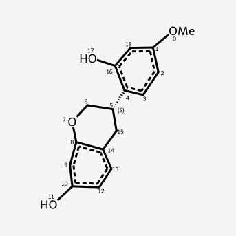 COc1ccc([C@H]2COc3cc(O)ccc3C2)c(O)c1